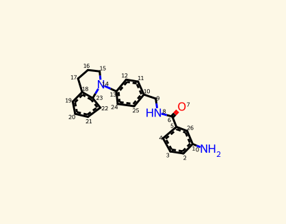 Nc1cccc(C(=O)NCc2ccc(N3CCCc4ccccc43)cc2)c1